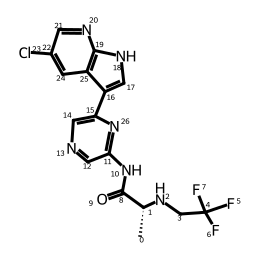 C[C@@H](NCC(F)(F)F)C(=O)Nc1cncc(-c2c[nH]c3ncc(Cl)cc23)n1